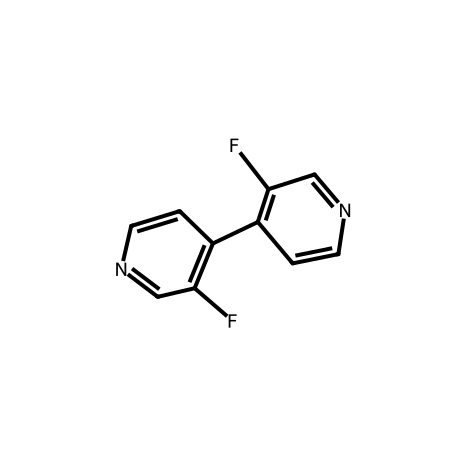 Fc1cnccc1-c1ccncc1F